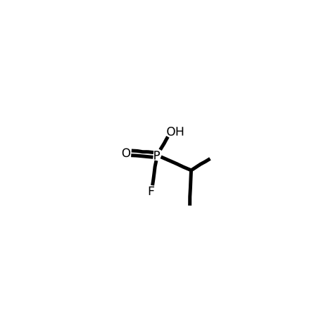 CC(C)P(=O)(O)F